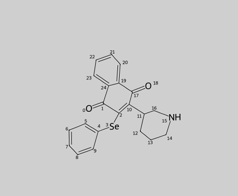 O=C1C([Se]c2ccccc2)=C(C2CCCNC2)C(=O)c2ccccc21